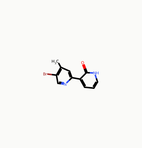 Cc1cc(-c2ccc[nH]c2=O)ncc1Br